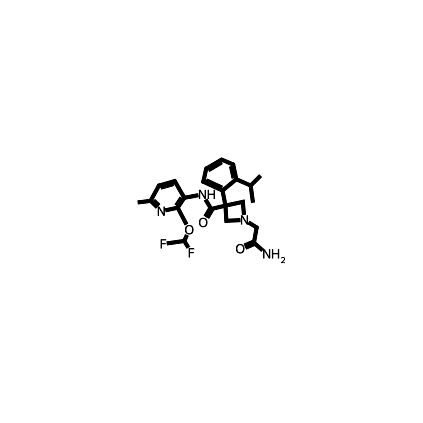 Cc1ccc(NC(=O)C2(c3ccccc3C(C)C)CN(CC(N)=O)C2)c(OC(F)F)n1